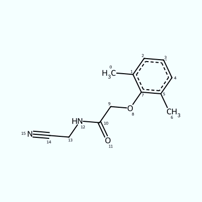 Cc1c[c]cc(C)c1OCC(=O)NCC#N